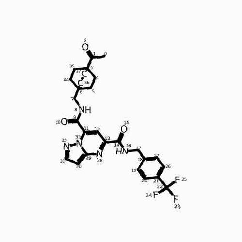 CC(=O)C12CCC(CNC(=O)c3cc(C(=O)NCc4ccc(C(F)(F)F)cc4)nc4ccnn34)(CC1)CC2